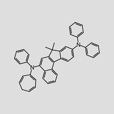 CC1(C)c2cc(N(c3ccccc3)c3ccccc3)ccc2-c2c1cc(N(C1=CC=CCC=C1)c1ccccc1)c1ccccc21